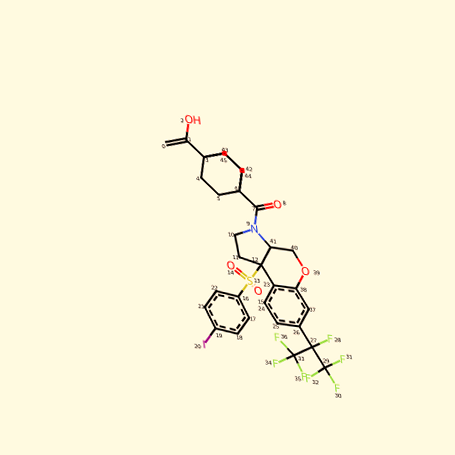 C=C(O)C12CCC(C(=O)N3CCC4(S(=O)(=O)c5ccc(I)cc5)c5ccc(C(F)(C(F)(F)F)C(F)(F)F)cc5OCC34)(CC1)CC2